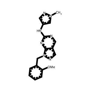 COc1ccccc1Cn1ncc2cnc(Nc3cnn(C)c3)nc21